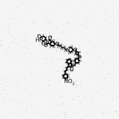 O=C1CCC(N2C(=O)c3ccc(OCCCCCN4CCC(OC5CC(Oc6ccc(CN7C(=O)/C(=C\C=C\c8ccc([N+](=O)[O-])cc8)c8ccccc87)cc6)C5)CC4)cc3C2=O)C(=O)N1